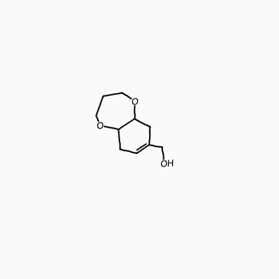 OCC1=CCC2OCCCOC2C1